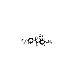 Cc1ncc(NC(=O)c2ccc(C(F)(F)F)nc2)c(C)n1